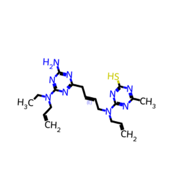 C=CCN(C/C=C/Cc1nc(N)nc(N(CC)CC=C)n1)c1nc(C)nc(S)n1